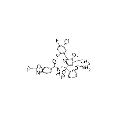 C[C@]1(C(N)=O)COc2c1cc([C@@](O)(CNC(=O)c1ccc3nc(C4CC4)oc3c1)c1ccccc1)nc2-c1cc(Cl)c(F)cc1F